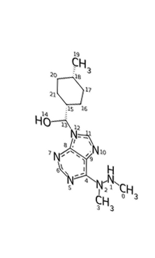 CNN(C)c1ncnc2c1ncn2C(O)[C@H]1CC[C@@H](C)CC1